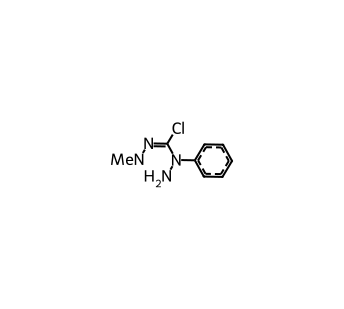 CN/N=C(/Cl)N(N)c1ccccc1